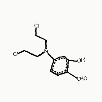 O=Cc1ccc(N(CCCl)CCCl)cc1O